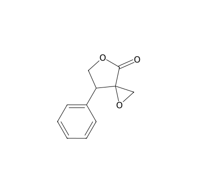 O=C1OCC(c2ccccc2)C12CO2